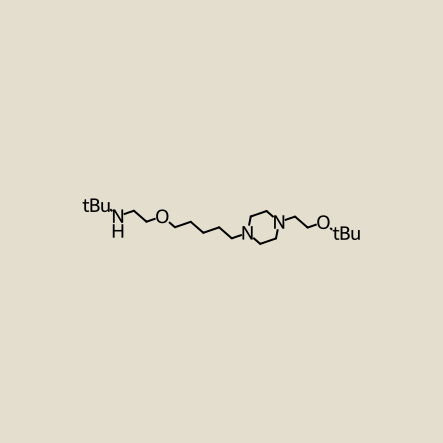 CC(C)(C)NCCOCCCCCN1CCN(CCOC(C)(C)C)CC1